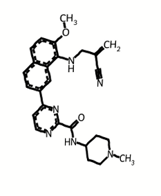 C=C(C#N)CNc1c(OC)ccc2ccc(-c3ccnc(C(=O)NC4CCN(C)CC4)n3)cc12